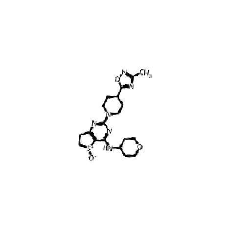 Cc1noc(C2CCN(c3nc4c(c(NC5CCOCC5)n3)[S+]([O-])CC4)CC2)n1